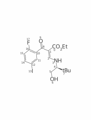 CCOC(=O)C(=CN[C@H](CO)C(C)(C)C)C(=O)c1cc(I)ccc1F